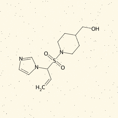 C=CC(n1ccnc1)S(=O)(=O)N1CCC(CO)CC1